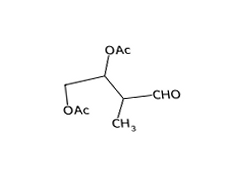 CC(=O)OCC(OC(C)=O)C(C)C=O